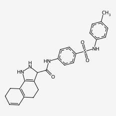 Cc1ccc(NS(=O)(=O)c2ccc(NC(=O)C3NNC4=C3CCC3=C4CCC=C3)cc2)cc1